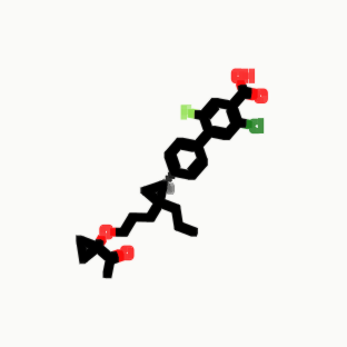 CCCC1(CCCOC2(C(C)=O)CC2)C[C@@H]1c1ccc(-c2cc(Cl)c(C(=O)O)cc2F)cc1